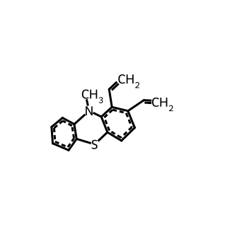 C=Cc1ccc2c(c1C=C)N(C)c1ccccc1S2